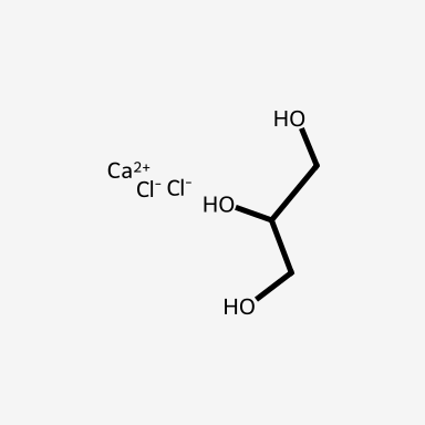 OCC(O)CO.[Ca+2].[Cl-].[Cl-]